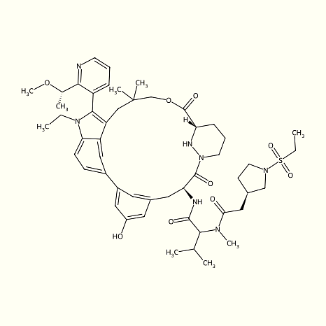 CCn1c(-c2cccnc2[C@H](C)OC)c2c3cc(ccc31)-c1cc(O)cc(c1)C[C@H](NC(=O)C(C(C)C)N(C)C(=O)C[C@H]1CCN(S(=O)(=O)CC)C1)C(=O)N1CCC[C@H](N1)C(=O)OCC(C)(C)C2